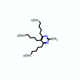 CCCCCCCCCCCCCCc1nc(C)nc(CCCCCCCCCCCCCC)c1CCCCCCCCCCCCCC